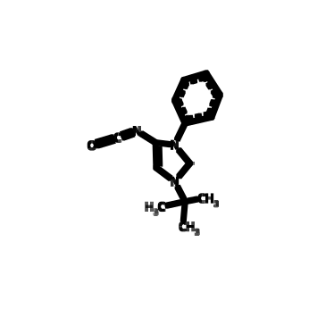 CC(C)(C)N1[CH]N(c2ccccc2)C(N=C=O)=C1